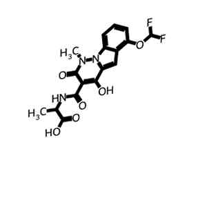 CC(NC(=O)c1c(O)c2cc3c(OC(F)F)cccc3n2n(C)c1=O)C(=O)O